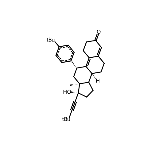 CC(C)(C)C#C[C@]1(O)CCC2[C@@H]3CCC4=CC(=O)CCC4=C3[C@@H](c3ccc(C(C)(C)C)cc3)C[C@@]21C